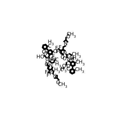 CCOC(=O)C[C@H](NC(=O)[C@H](CC(C)C)n1cc(CCN2CC(COC)C2)c(C(F)(F)F)cc1=O)c1cc(-c2c(C)cccc2C)cc(C)c1F.COCC1CN(CCc2cn(C(CC(C)C)C(=O)N[C@@H](CC(=O)O)c3cc(-c4c(C)cccc4C)cc(C)c3F)c(=O)cc2C(F)(F)F)C1